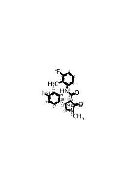 Cc1c(F)cccc1NC(=O)[C@H]1C(=O)N(C)C[C@@H]1c1ccc(F)cc1